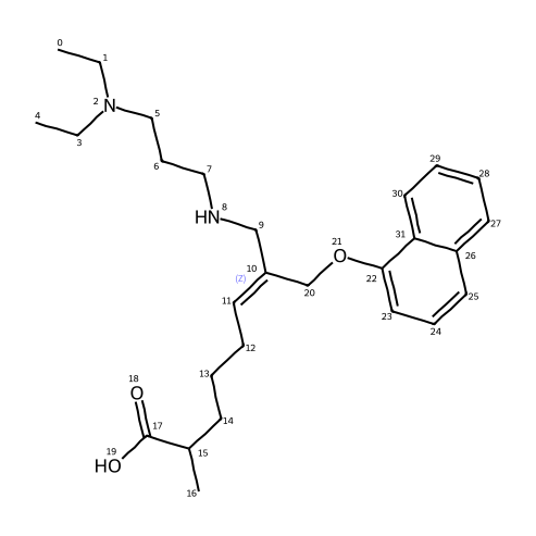 CCN(CC)CCCNC/C(=C/CCCC(C)C(=O)O)COc1cccc2ccccc12